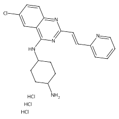 Cl.Cl.Cl.NC1CCC(Nc2nc(/C=C/c3ccccn3)nc3ccc(Cl)cc23)CC1